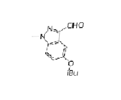 CCC(C)Oc1ccc2c(c1)c(C=O)nn2C